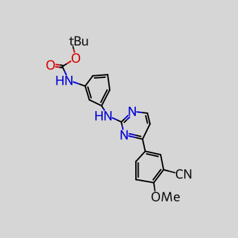 COc1ccc(-c2ccnc(Nc3cccc(NC(=O)OC(C)(C)C)c3)n2)cc1C#N